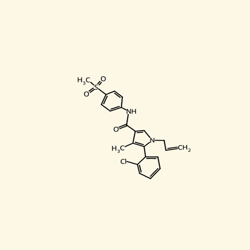 C=CCn1cc(C(=O)Nc2ccc(S(C)(=O)=O)cc2)c(C)c1-c1ccccc1Cl